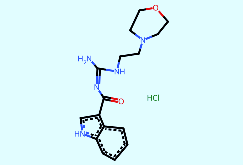 Cl.NC(=NC(=O)c1c[nH]c2ccccc12)NCCN1CCOCC1